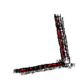 N.N.N.N.N.N.N.N.N.N.N.N.N.N.N.N.N.N.N.N.N.N.N.N.N.N.N.N.N.N.N.N.N.N.N.N.N.N.N.N.N.N.N.N.N.N.N.N.N.N.N.N.N.N.N.N.N.N.N.N.N.N.N.N.N.N.N.N.N.N.N.N.N.N.N.N.N.N.N.N.N.N.N.N.N.N.N.N.N.N.N.N.N.N.N.N.N.N.N#CCCC(=O)O.N#CCCC(=O)O